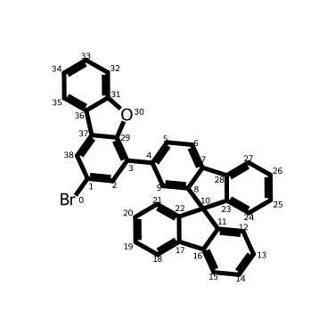 Brc1cc(-c2ccc3c(c2)C2(c4ccccc4-c4ccccc42)c2ccccc2-3)c2oc3ccccc3c2c1